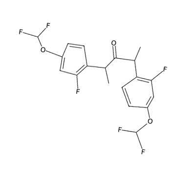 CC(C(=O)C(C)c1ccc(OC(F)F)cc1F)c1ccc(OC(F)F)cc1F